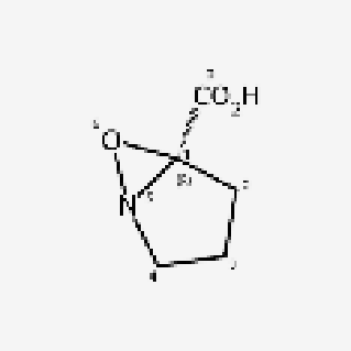 O=C(O)[C@]12CCCN1O2